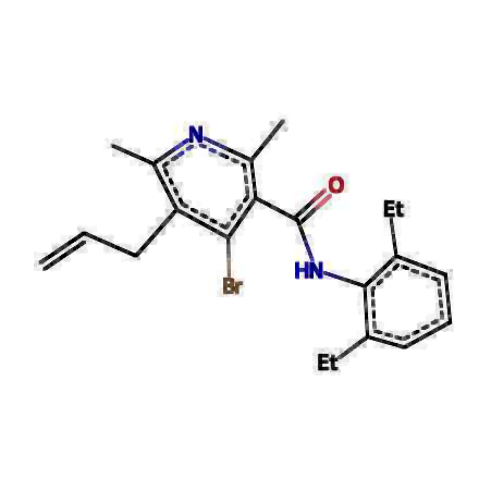 C=CCc1c(C)nc(C)c(C(=O)Nc2c(CC)cccc2CC)c1Br